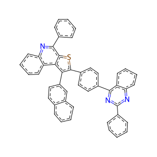 c1ccc(-c2nc(-c3ccc(-c4sc5c(-c6ccccc6)nc6ccccc6c5c4-c4ccc5ccccc5c4)cc3)c3ccccc3n2)cc1